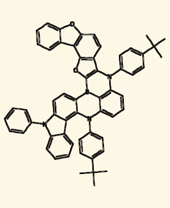 CC(C)(C)c1ccc(N2c3cccc4c3B(c3ccc5c(c3N4c3ccc(C(C)(C)C)cc3)c3ccccc3n5-c3ccccc3)c3oc4c(ccc5oc6ccccc6c54)c32)cc1